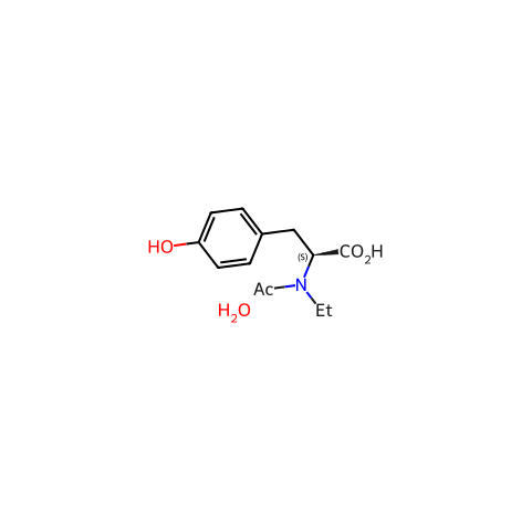 CCN(C(C)=O)[C@@H](Cc1ccc(O)cc1)C(=O)O.O